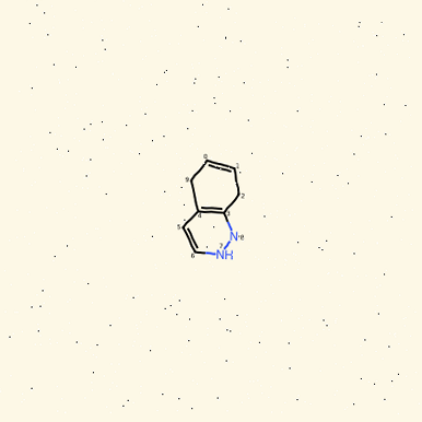 C1=CCC2=C(C=CN[N]2)C1